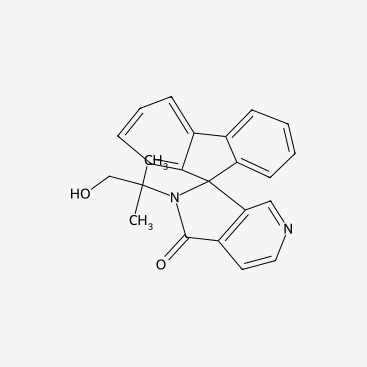 CC(C)(CO)N1C(=O)c2ccncc2C12c1ccccc1-c1ccccc12